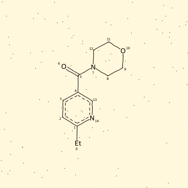 CCc1ccc(C(=O)N2CCOCC2)cn1